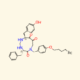 CC(=O)CCCCOc1ccc(CN2CC(=O)C(=O)[C@H](Cc3ccc(O)cc3)NCN[C@@H](Cc3ccccc3)C2=O)cc1